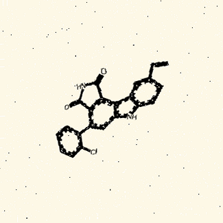 C=Cc1ccc2[nH]c3cc(-c4ccccc4Cl)c4c(c3c2c1)C(=O)NC4=O